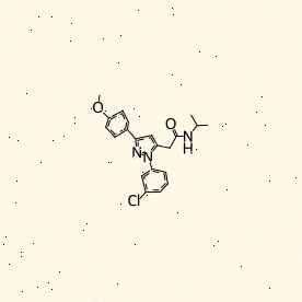 COc1ccc(-c2cc(CC(=O)NC(C)C)n(-c3cccc(Cl)c3)n2)cc1